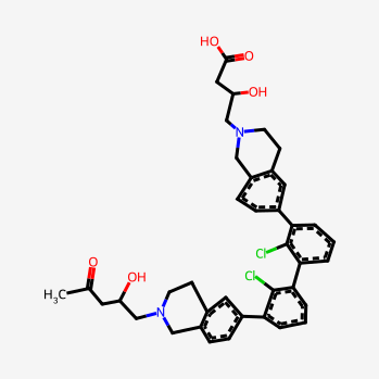 CC(=O)CC(O)CN1CCc2cc(-c3cccc(-c4cccc(-c5ccc6c(c5)CCN(CC(O)CC(=O)O)C6)c4Cl)c3Cl)ccc2C1